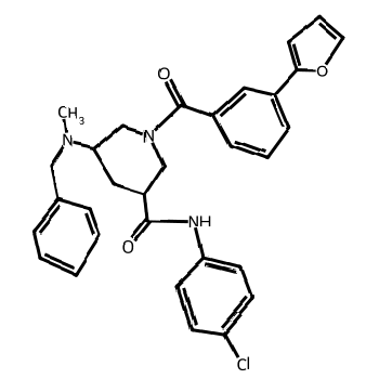 CN(Cc1ccccc1)C1CC(C(=O)Nc2ccc(Cl)cc2)CN(C(=O)c2cccc(-c3ccco3)c2)C1